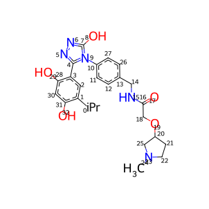 CC(C)c1cc(-c2nnc(O)n2-c2ccc(CNC(=O)COC3CCN(C)C3)cc2)c(O)cc1O